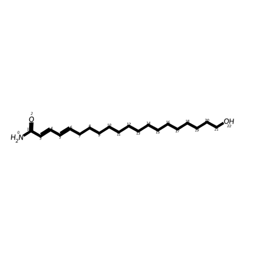 NC(=O)C=CC=CCCCCCCCCCCCCCCCO